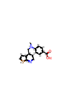 CN(Cc1ccnc2sccc12)c1ccc(C(=O)O)cc1